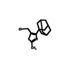 Cc1nc(C23CC4CC(CC(C4)C2)C3)c(CCl)s1